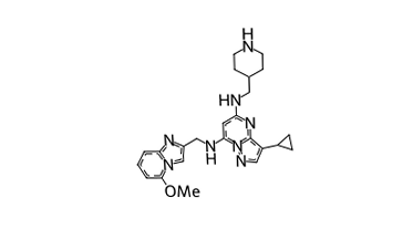 COc1cccc2nc(CNc3cc(NCC4CCNCC4)nc4c(C5CC5)cnn34)cn12